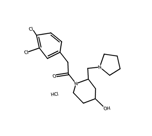 Cl.O=C(Cc1ccc(Cl)c(Cl)c1)N1CCC(O)CC1CN1CCCC1